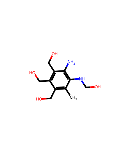 Cc1c(CO)c(CO)c(CO)c(N)c1NCO